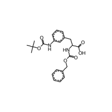 CC(C)(C)OC(=O)Nc1cccc(CC(NC(=O)OCc2ccccc2)C(=O)O)c1